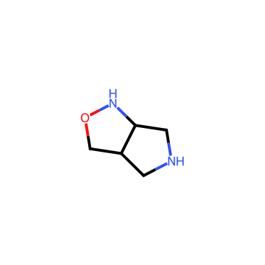 C1NCC2NOCC12